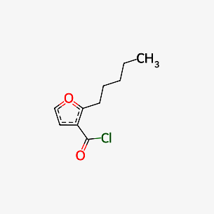 CCCCCc1occc1C(=O)Cl